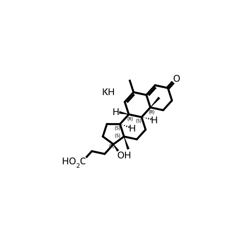 CC1=C[C@@H]2[C@H](CC[C@@]3(C)[C@H]2CC[C@@]3(O)CCC(=O)O)[C@@]2(C)CCC(=O)C=C12.[KH]